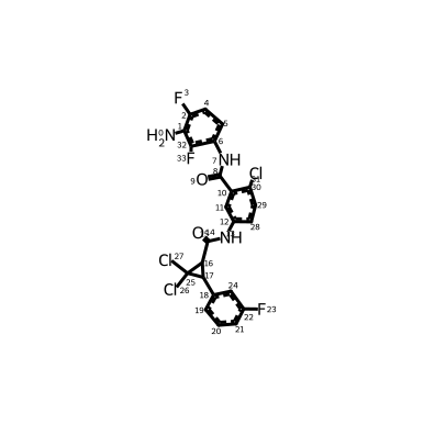 Nc1c(F)ccc(NC(=O)c2cc(NC(=O)C3C(c4cccc(F)c4)C3(Cl)Cl)ccc2Cl)c1F